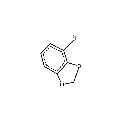 [2H]c1cccc2c1OCO2